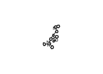 c1ccc(-c2cc(-c3ccc4c(c3)C3(c5ccccc5Oc5ccccc53)c3cc(-c5cccc(-c6nccc7ccccc67)c5)ccc3-4)nc(-c3ccccc3)n2)cc1